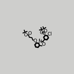 Cc1cccc(OCCCC(=O)OC(C)(C)C)c1N(C)C(=O)c1ccc(Cl)c(B2OC(C)(C)C(C)(C)O2)c1